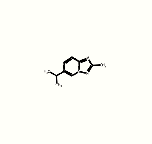 Cc1nc2ccc(C(C)C)cn2n1